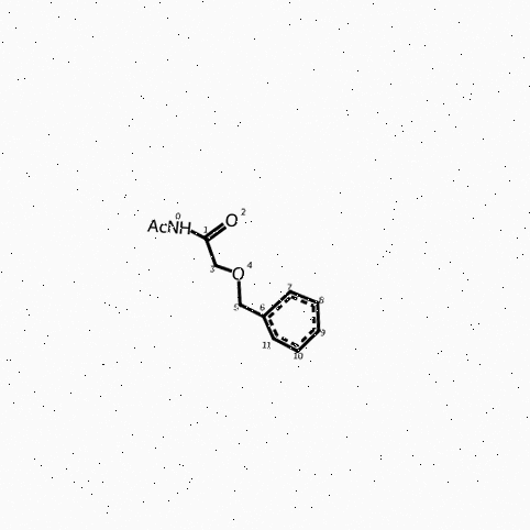 CC(=O)NC(=O)COCc1ccccc1